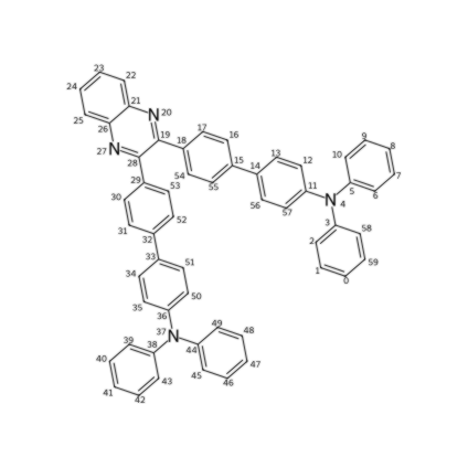 c1ccc(N(c2ccccc2)c2ccc(-c3ccc(-c4nc5ccccc5nc4-c4ccc(-c5ccc(N(c6ccccc6)c6ccccc6)cc5)cc4)cc3)cc2)cc1